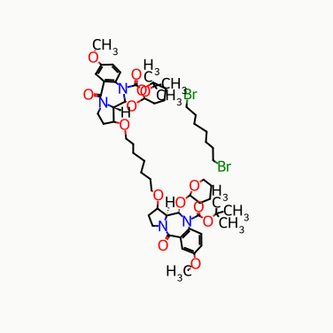 BrCCCCCCCBr.COc1ccc2c(c1)C(=O)N1CCC(OCCCCCCCOC3CCN4C(=O)c5cc(OC)ccc5N(C(=O)OC(C)(C)C)[C@@H](OC5CCCCO5)[C@H]34)[C@H]1[C@H](OC1CCCCO1)N2C(=O)OC(C)(C)C